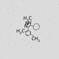 CCc1ccc(C)c(-c2nnn(CC)c2C2CCCCCC2)c1